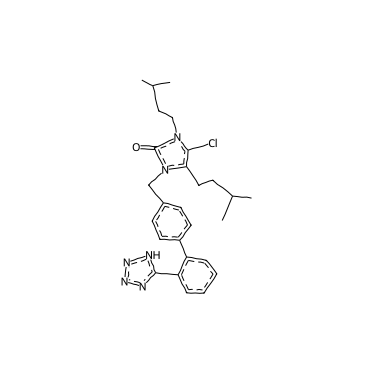 CC(C)CCc1c(Cl)n(CCC(C)C)c(=O)n1Cc1ccc(-c2ccccc2-c2nnn[nH]2)cc1